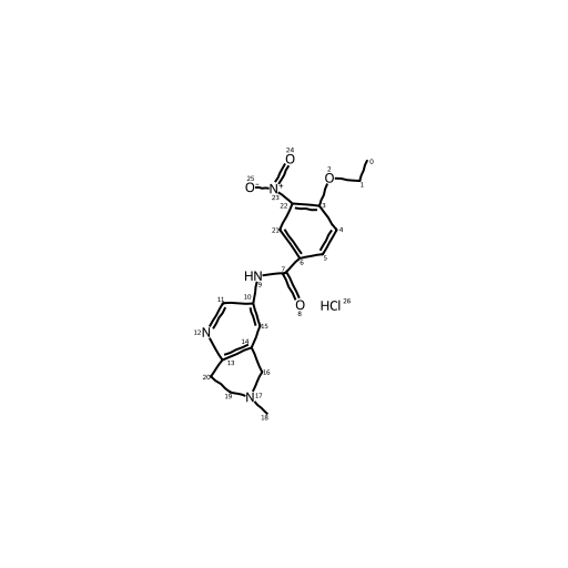 CCOc1ccc(C(=O)Nc2cnc3c(c2)CN(C)CC3)cc1[N+](=O)[O-].Cl